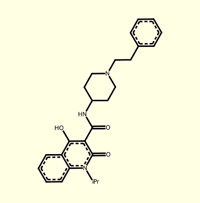 CC(C)n1c(=O)c(C(=O)NC2CCN(CCc3ccccc3)CC2)c(O)c2ccccc21